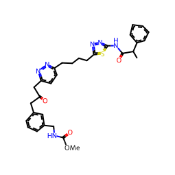 COC(=O)NCc1cccc(CC(=O)Cc2ccc(CCCCc3nnc(NC(=O)C(C)c4ccccc4)s3)nn2)c1